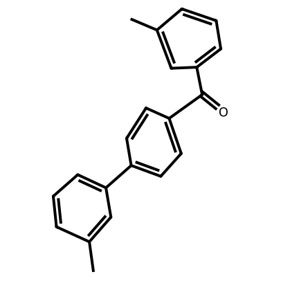 Cc1cccc(C(=O)c2ccc(-c3cccc(C)c3)cc2)c1